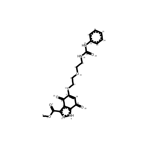 COC(=O)c1n[nH]c2c1C(=O)C(SCCOCCNC(=O)Nc1ccccc1)=CC2=O